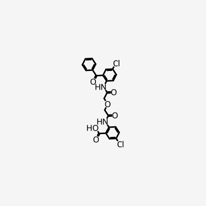 O=C(COCC(=O)Nc1ccc(Cl)cc1C(=O)c1ccccc1)Nc1ccc(Cl)cc1C(=O)O